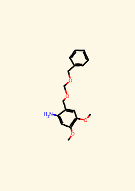 COc1cc(N)c(COCOCc2ccccc2)cc1OC